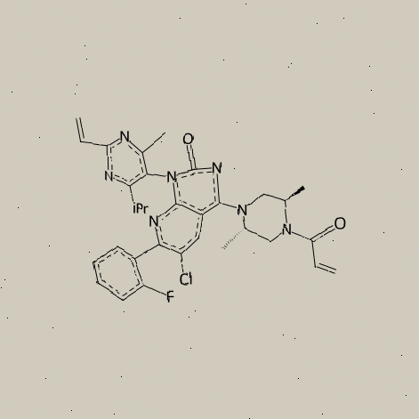 C=CC(=O)N1C[C@H](C)N(c2nc(=O)n(-c3c(C)nc(C=C)nc3C(C)C)c3nc(-c4ccccc4F)c(Cl)cc23)C[C@H]1C